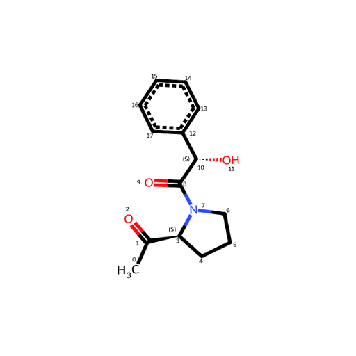 CC(=O)[C@@H]1CCCN1C(=O)[C@@H](O)c1ccccc1